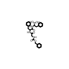 O=C(CNC(=O)OCc1ccccc1)NC(Cc1ccccc1)C(=O)NC(Cc1ccccc1)B(O)O